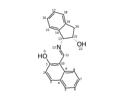 Oc1ccc2ccccc2c1/C=N/[C@@H]1c2ccccc2C[C@@H]1O